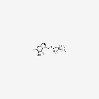 C[Si](C)(C)CCOCn1ncc2cc(F)c(O)c(I)c21